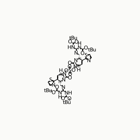 CC(C)(C)OC(=O)NC(=NC[C@@H]1C(c2nccs2)=C[C@@H]2CN1C(=O)N2OS(=O)(=O)ON1C(=O)N2C[C@H]1C=C(c1nccs1)[C@H]2CN=C(NC(=O)OC(C)(C)C)NC(=O)OC(C)(C)C)NC(=O)OC(C)(C)C